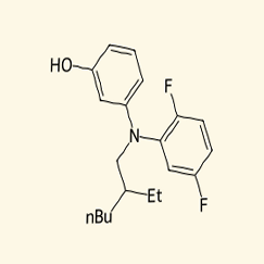 CCCCC(CC)CN(c1cccc(O)c1)c1cc(F)ccc1F